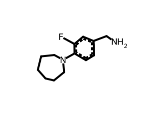 NCc1ccc(N2CCCCCC2)c(F)c1